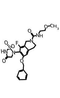 COCCNC(=O)N1CCc2cc(OCc3ccccc3)c(N3CC(=O)NS3(=O)=O)c(F)c2C1